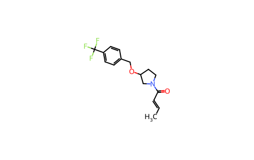 C/C=C/C(=O)N1CCC(OCc2ccc(C(F)(F)F)cc2)C1